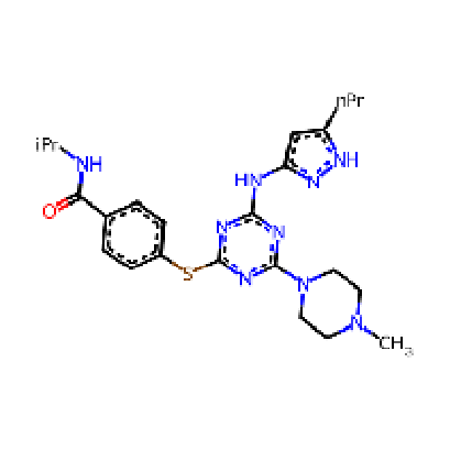 CCCc1cc(Nc2nc(Sc3ccc(C(=O)NC(C)C)cc3)nc(N3CCN(C)CC3)n2)n[nH]1